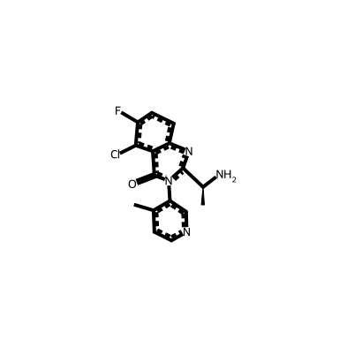 Cc1ccncc1-n1c([C@H](C)N)nc2ccc(F)c(Cl)c2c1=O